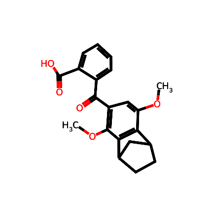 COc1cc(C(=O)c2ccccc2C(=O)O)c(OC)c2c1C1CCC2C1